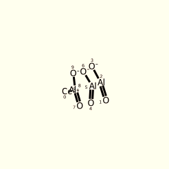 [Ce+3].[O]=[Al][O-].[O]=[Al][O-].[O]=[Al][O-]